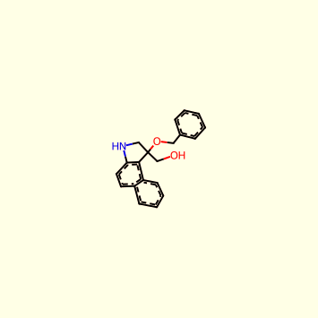 OCC1(OCc2ccccc2)CNc2ccc3ccccc3c21